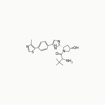 Cc1ncsc1-c1ccc(-c2cnc([C@@H]3C[C@@H](O)CN3C(=O)C(N)C(C)(C)C)[nH]2)cc1